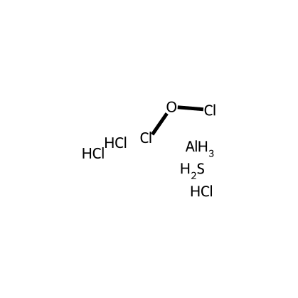 Cl.Cl.Cl.ClOCl.S.[AlH3]